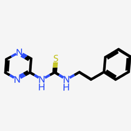 S=C(NCCc1ccccc1)Nc1cnccn1